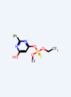 CCOP(=S)(OCC(F)(F)F)Oc1cc(O)nc(C(C)C)n1